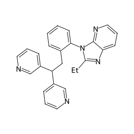 CCc1nc2cccnc2n1-c1ccccc1CC(c1cccnc1)c1cccnc1